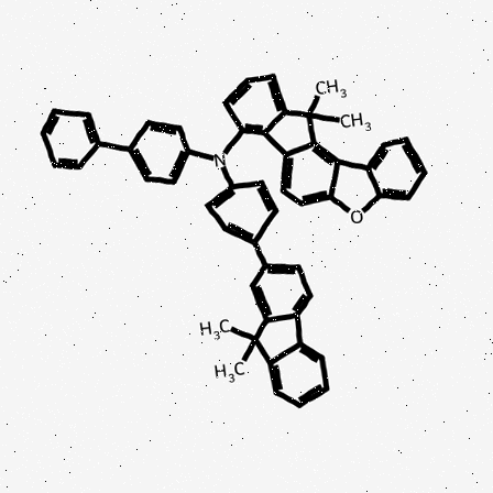 CC1(C)c2ccccc2-c2ccc(-c3ccc(N(c4ccc(-c5ccccc5)cc4)c4cccc5c4-c4ccc6oc7ccccc7c6c4C5(C)C)cc3)cc21